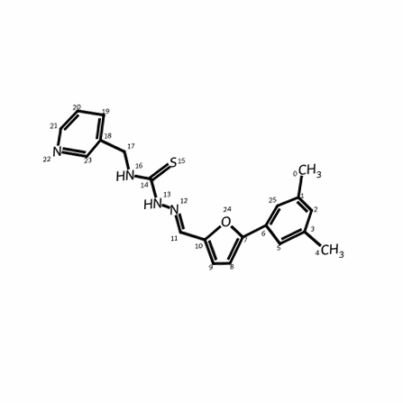 Cc1cc(C)cc(-c2ccc(C=NNC(=S)NCc3cccnc3)o2)c1